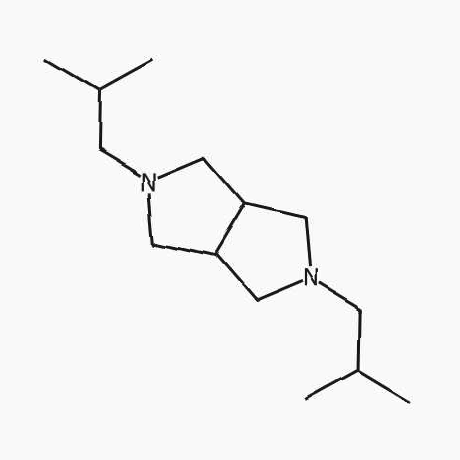 CC(C)CN1CC2CN(CC(C)C)CC2C1